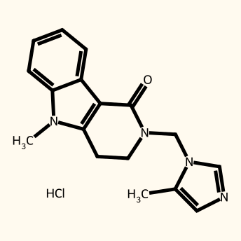 Cc1cncn1CN1CCc2c(c3ccccc3n2C)C1=O.Cl